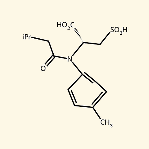 Cc1ccc(N(C(=O)CC(C)C)[C@@H](CS(=O)(=O)O)C(=O)O)cc1